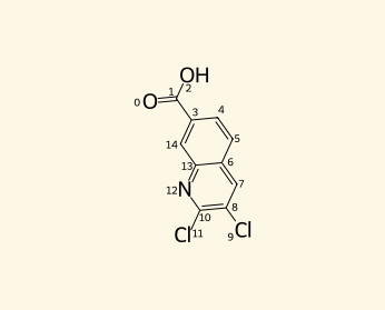 O=C(O)c1ccc2cc(Cl)c(Cl)nc2c1